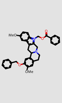 COc1ccc2c(c1)c1c(n2COC(=O)c2ccccc2)CN2CCc3cc(OC)c(OCc4ccccc4)cc3C2C1